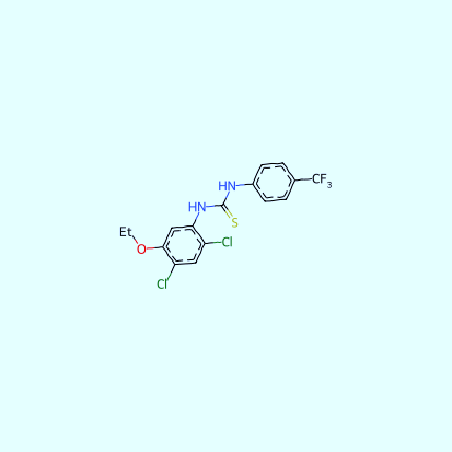 CCOc1cc(NC(=S)Nc2ccc(C(F)(F)F)cc2)c(Cl)cc1Cl